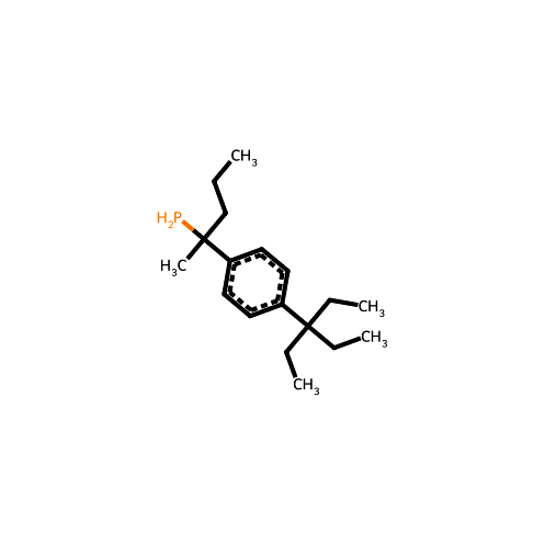 CCCC(C)(P)c1ccc(C(CC)(CC)CC)cc1